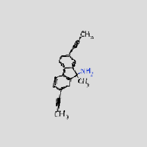 CC#Cc1ccc2c(c1)C(C)(N)c1cc(C#CC)ccc1-2